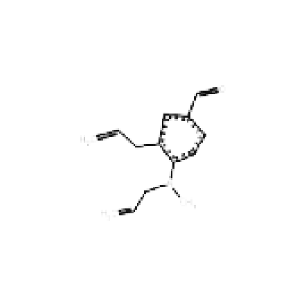 C=CCc1cc(C=O)ccc1N(C)CC=C